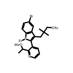 CCn1c(-c2cccnc2C(C)OC)c(CC(C)(C)COC(C)=O)c2cc(Br)ccc21